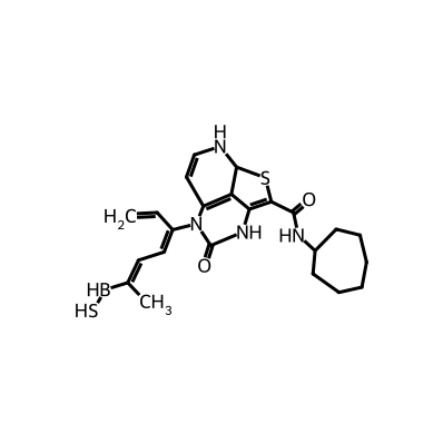 C=C/C(=C\C=C(/C)BS)N1C(=O)NC2=C(C(=O)NC3CCCCCC3)SC3NC=CC1=C23